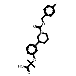 CC(C)(Oc1cccc(C2CCCN(C(=O)OCc3ccc(F)cc3)C2)c1)C(=O)O